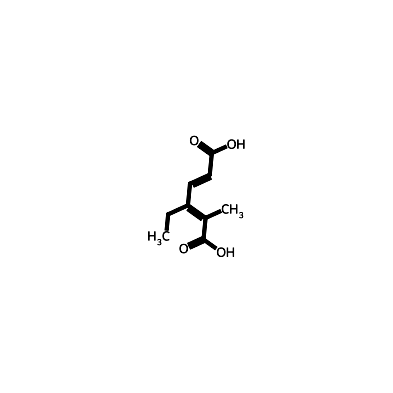 CCC(C=CC(=O)O)=C(C)C(=O)O